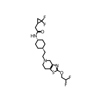 O=C(CC1CC1(F)F)N[C@H]1CC[C@H](CCN2CCc3sc(OCC(F)F)nc3C2)CC1